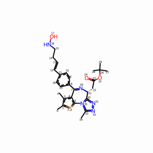 Cc1sc2c(c1C)C(c1ccc(/C=C/CCNO)cc1)=N[C@H](CC(=O)OC(C)(C)C)c1nnc(C)n1-2